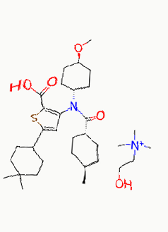 CO[C@H]1CC[C@H](N(c2cc(C3CCC(C)(C)CC3)sc2C(=O)O)C(=O)[C@H]2CC[C@H](C)CC2)CC1.C[N+](C)(C)CCO